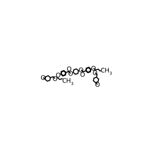 CCCC(OCC1CCC2OC2C1)Oc1ccc(C(=O)OC2CCC(OC(=O)c3ccc(OC(CCC)OCC4CCC5OC5C4)cc3)CC2)cc1